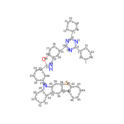 c1ccc(-c2nc(-c3ccccc3)nc(-c3ccc4c(c3)NC(c3cccc(-n5c6ccccc6c6cc7c(cc65)sc5ccccc57)c3)O4)n2)cc1